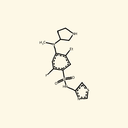 CCc1cc(S(=O)(=O)Nc2cscn2)c(F)cc1N(C)C1CCNC1